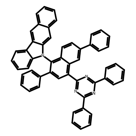 c1ccc(-c2ccc3c(-n4c5ccccc5c5cc6ccccc6cc54)c(-c4ccccc4)cc(-c4nc(-c5ccccc5)nc(-c5ccccc5)n4)c3c2)cc1